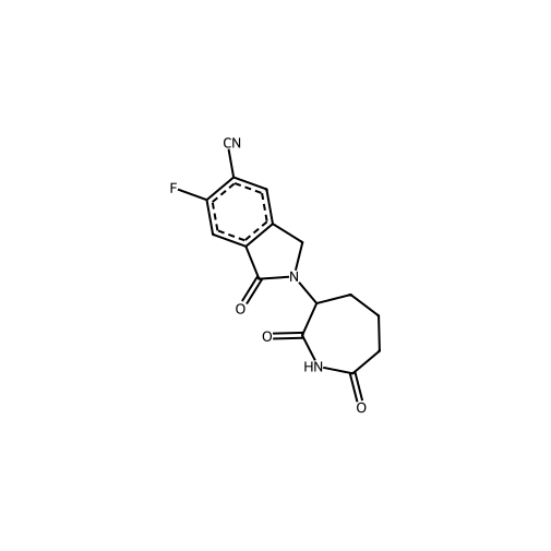 N#Cc1cc2c(cc1F)C(=O)N(C1CCCC(=O)NC1=O)C2